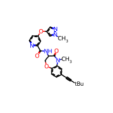 CN1C(=O)C(NC(=O)c2cc(Oc3cnn(C)c3)ccn2)COc2ccc(C#CC(C)(C)C)cc21